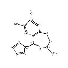 CN1CCc2cc(Cl)c(O)cc2C(n2cccc2)C1